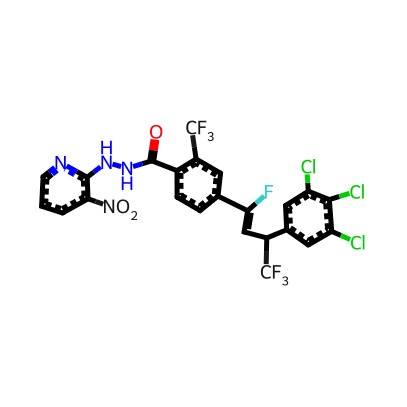 O=C(NNc1ncccc1[N+](=O)[O-])c1ccc(C(F)=CC(c2cc(Cl)c(Cl)c(Cl)c2)C(F)(F)F)cc1C(F)(F)F